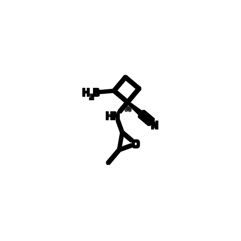 BC1CC[C@]1(C#N)NC1OC1C